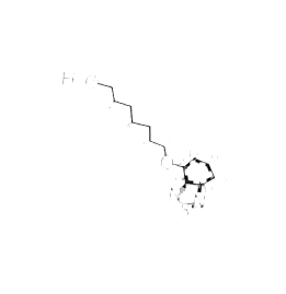 CCCCCCCCOc1cccc2nsnc12